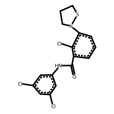 O=C(Nc1cc(Cl)cc(Cl)c1)c1cccc(N2CCCS2)c1Cl